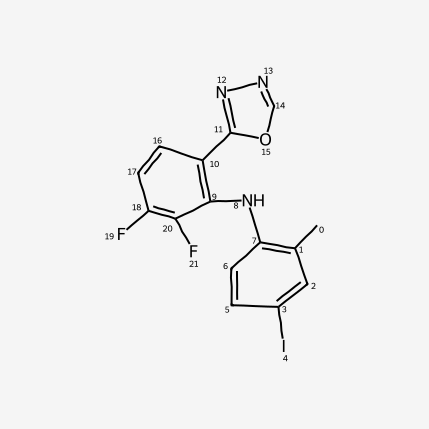 Cc1cc(I)ccc1Nc1c(-c2nnco2)ccc(F)c1F